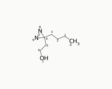 CCCCC1(CCO)N=N1